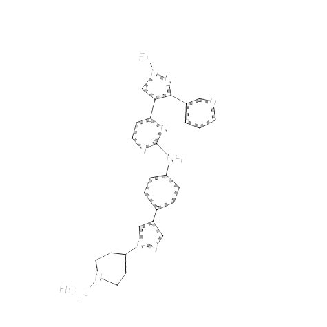 CCn1cc(-c2ccnc(Nc3ccc(-c4cnn(C5CCN(C(=O)O)CC5)c4)cc3)n2)c(-c2cccnc2)n1